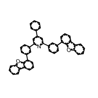 c1ccc(-c2cc(-c3cccc(-c4cccc5c4oc4ccccc45)c3)nc(-c3cccc(-c4cccc5c4oc4ccccc45)c3)c2)cc1